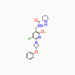 COc1nc(N2CC(Oc3ccccc3)C2)c(F)cc1CNC(=O)[C@@H]1CCCN1